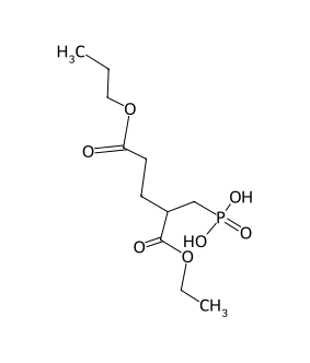 CCCOC(=O)CCC(CP(=O)(O)O)C(=O)OCC